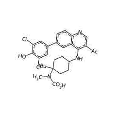 CC(=O)c1cnc2ccc(-c3cc(Cl)c(O)c(Cl)c3)cc2c1NC1CCC(N(C)C(=O)O)(C(C)(C)C)CC1